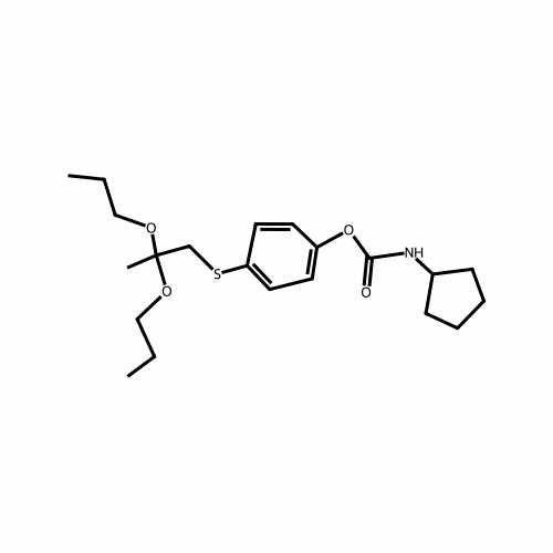 CCCOC(C)(CSc1ccc(OC(=O)NC2CCCC2)cc1)OCCC